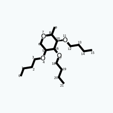 CCCCOC1COC(C)[C@@H](OCCCC)C1OCCCC